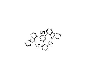 N#Cc1cccc(C#N)c1-c1cc(-c2cccc3c2sc2ccccc23)c(C#N)c(-c2cccc3c2sc2ccccc23)c1